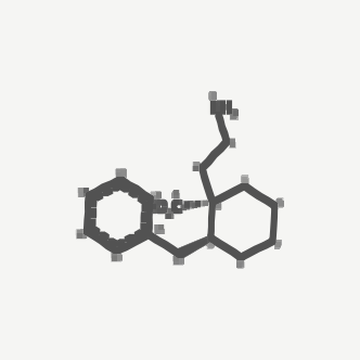 NCC[C@@]1(C(=O)O)CCCC[C@H]1Cc1ccccc1